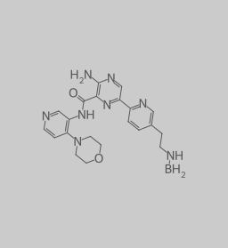 BNCCc1ccc(-c2cnc(N)c(C(=O)Nc3cnccc3N3CCOCC3)n2)nc1